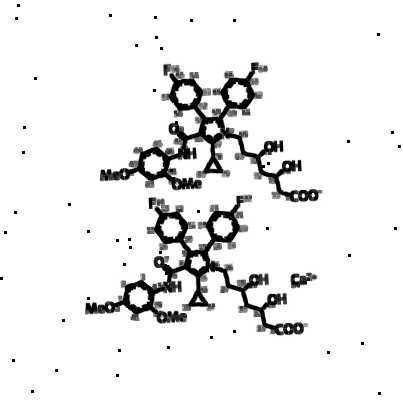 COc1ccc(NC(=O)c2c(-c3ccc(F)cc3)c(-c3ccc(F)cc3)n(CC[C@@H](O)C[C@@H](O)CC(=O)[O-])c2C2CC2)c(OC)c1.COc1ccc(NC(=O)c2c(-c3ccc(F)cc3)c(-c3ccc(F)cc3)n(CC[C@@H](O)C[C@@H](O)CC(=O)[O-])c2C2CC2)c(OC)c1.[Ca+2]